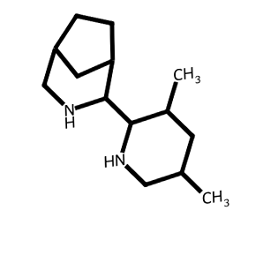 CC1CNC(C2NCC3CCC2C3)C(C)C1